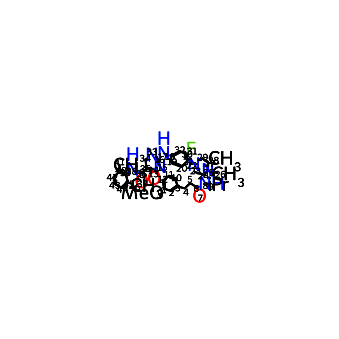 COc1cc(CCC(=O)NC(C)C)ccc1Oc1nc(Nc2ccc(N3CCN(C)C(C)C3)c(F)c2)ncc1C(=O)Nc1c(C)cccc1C